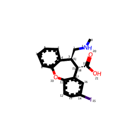 CNC[C@@H]1c2ccccc2Oc2ccc(I)cc2[C@H]1C(=O)O